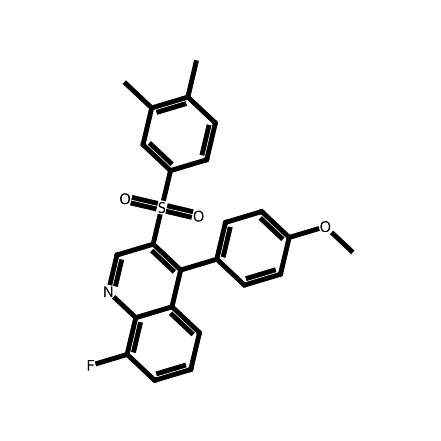 COc1ccc(-c2c(S(=O)(=O)c3ccc(C)c(C)c3)cnc3c(F)cccc23)cc1